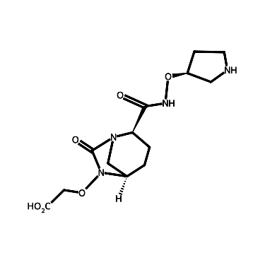 O=C(O)CON1C(=O)N2C[C@H]1CC[C@@H]2C(=O)NO[C@H]1CCNC1